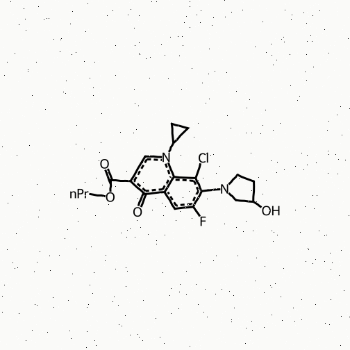 CCCOC(=O)c1cn(C2CC2)c2c(Cl)c(N3CCC(O)C3)c(F)cc2c1=O